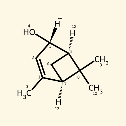 CC1=C[C@H](O)[C@@H]2C[C@H]1C2(C)C